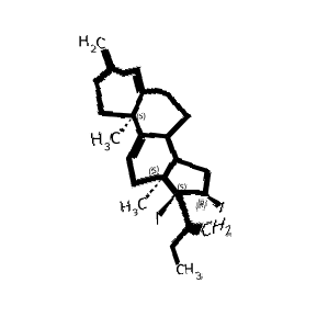 C=C1C=C2CCC3C(=CC[C@@]4(C)C3C[C@@H](I)[C@]4(I)C(=C)CC)[C@@]2(C)CC1